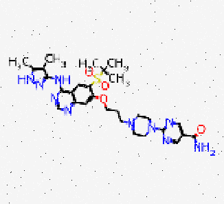 Cc1[nH]nc(Nc2ncnc3cc(OCCCN4CCN(c5ncc(C(N)=O)cn5)CC4)c(S(=O)(=O)C(C)(C)C)cc23)c1C